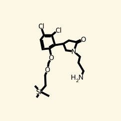 C[Si](C)(C)CCOCOc1ccc(Cl)c(Cl)c1C1CC(=O)N(CCCN)C1